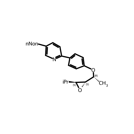 CCCCCCCCCc1ccc(-c2ccc(O[C@H](C)[C@@H]3O[C@H]3C(C)C)cc2)nc1